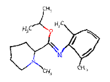 Cc1cccc(C)c1/N=C(\OC(C)C)C1CCCCN1C